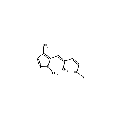 CCN/C=C\C(C)=C\c1c(N)cnn1C